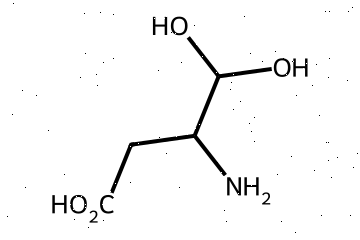 NC(CC(=O)O)C(O)O